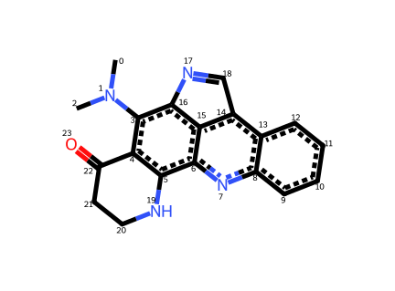 CN(C)c1c2c(c3nc4ccccc4c4c3c1N=C4)NCCC2=O